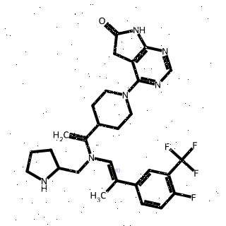 C=C(C1CCN(c2ncnc3c2CC(=O)N3)CC1)N(/C=C(\C)c1ccc(F)c(C(F)(F)F)c1)CC1CCCN1